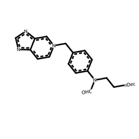 CCCCCCCCCCCCN(C=O)c1ccc(Cn2ccc3ncnc-3c2)cc1